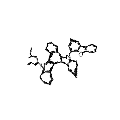 C=C/C=C(\C=C(C)C)n1c2ccccc2c2c3c4ccccc4n(-c4cccc5c4oc4ccccc45)c3c3ccccc3c21